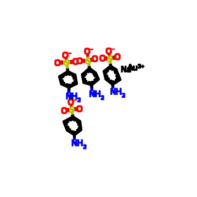 Nc1ccc(S(=O)(=O)[O-])cc1.Nc1ccc(S(=O)(=O)[O-])cc1.Nc1ccc(S(=O)(=O)[O-])cc1.Nc1ccc(S(=O)(=O)[O-])cc1.[Au+3].[Na+]